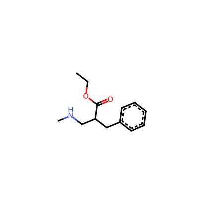 CCOC(=O)C(CNC)Cc1ccccc1